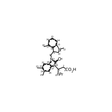 CCCC(CC(=O)O)n1c(=O)n(CC2CN(C)c3cccc(C)c32)c2cc(C)c(C)cc21